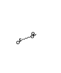 C=CC(=O)OCCCCCCCCSc1ccccc1